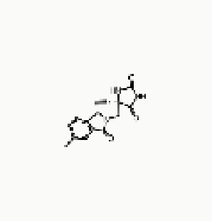 C#C[C@]1(CN2Cc3ccc(C)cc3C2=O)NC(=O)NC1=O